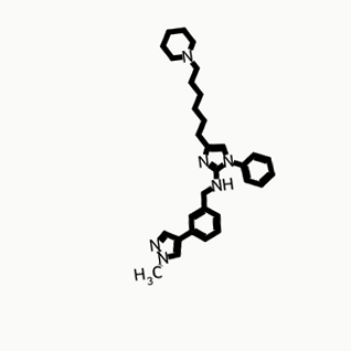 Cn1cc(-c2cccc(CNc3nc(CCCCCCN4CCCCC4)cn3-c3ccccc3)c2)cn1